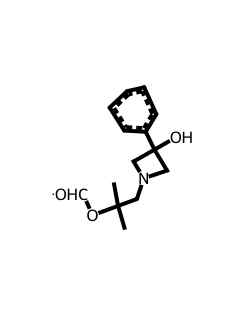 CC(C)(CN1CC(O)(c2ccccc2)C1)O[C]=O